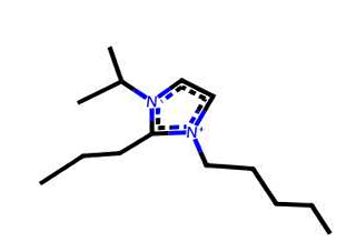 CCCCC[n+]1ccn(C(C)C)c1CCC